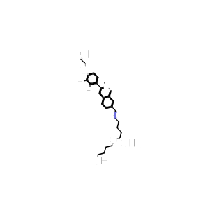 C=CCOc1ccc(-c2cc3ccc(/C=C/CCCC(C)OCCCCC)cc3cn2)c(F)c1F